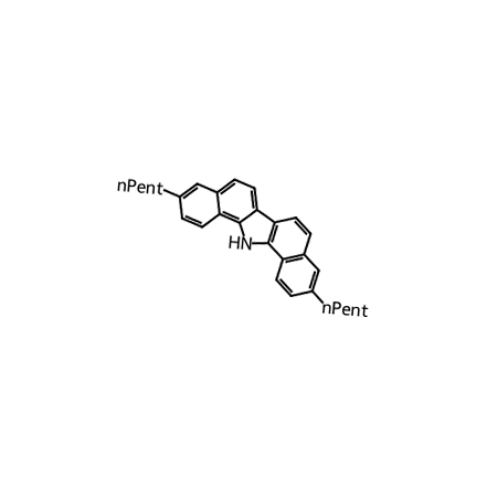 CCCCCc1ccc2c(ccc3c4ccc5cc(CCCCC)ccc5c4[nH]c23)c1